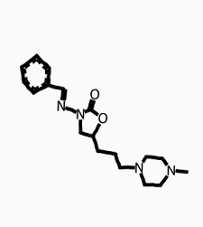 CN1CCN(CCCC2CN(/N=C/c3ccccc3)C(=O)O2)CC1